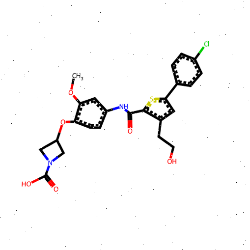 COc1cc(NC(=O)c2sc(-c3ccc(Cl)cc3)cc2CCO)ccc1OC1CN(C(=O)O)C1